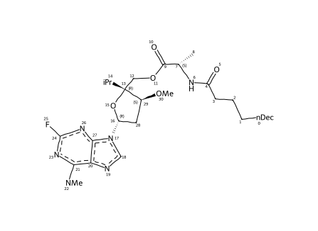 CCCCCCCCCCCCCC(=O)N[C@@H](C)C(=O)OC[C@@]1(C(C)C)O[C@@H](n2cnc3c(NC)nc(F)nc32)C[C@@H]1OC